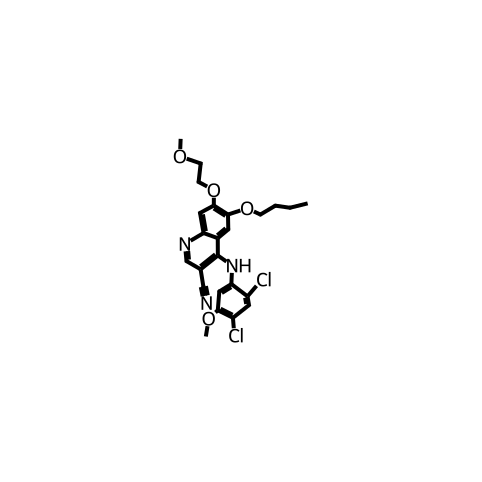 CCCCOc1cc2c(Nc3cc(OC)c(Cl)cc3Cl)c(C#N)cnc2cc1OCCOC